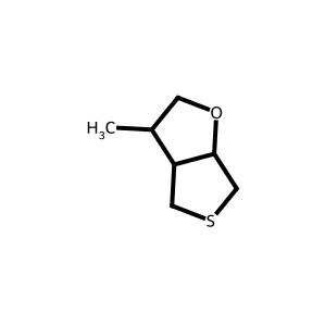 CC1COC2CSCC12